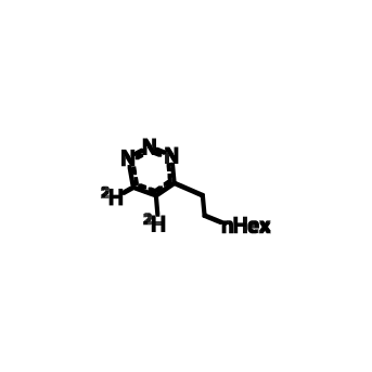 [2H]c1nnnc(CCCCCCCC)c1[2H]